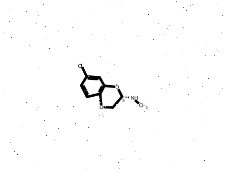 CN[C@@H]1COc2ccc(Cl)cc2O1